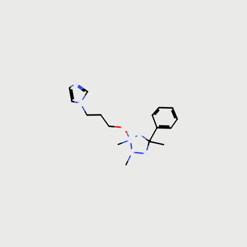 CN1NC(C)(c2ccccc2)N[N+]1(C)OCCCn1ccnc1